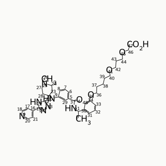 CC(NC(=O)c1cccc(NC2(c3nnc(-c4ccncc4)[nH]3)CCN(C)CC2)c1)c1cccc(OCCCCCOCCCOCC(=O)O)c1